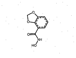 O=C(NO)c1cccc2c1OCO2